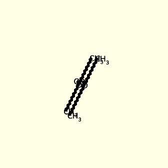 CCCCCCCCCCCCCCCCOC(=O)CCCCCCCCCCCCC.CCCCCCCCCCCCCCOC(=O)CCCCCCCCCCCCC